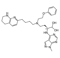 Cn1ncc2c(N[C@@H](CCN(CCCCc3ccc4c(n3)NCCC4)CCOc3ccccc3)C(O)O)ncnc21